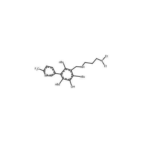 CCCCc1c(O)c(CCCC)c(-c2ccc(C(F)(F)F)nc2)c(CCCC)c1CNCCCN(CC)CC